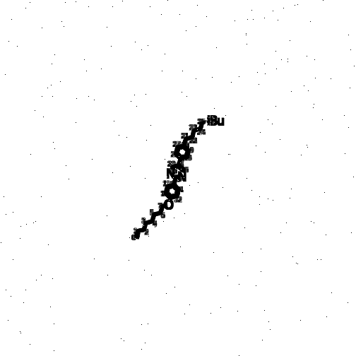 C=CCCCCCCOc1ccc(-c2ncc(-c3ccc(CCCCC[C@@H](C)CC)cc3)cn2)cc1